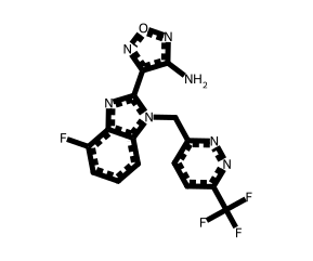 Nc1nonc1-c1nc2c(F)cccc2n1Cc1ccc(C(F)(F)F)nn1